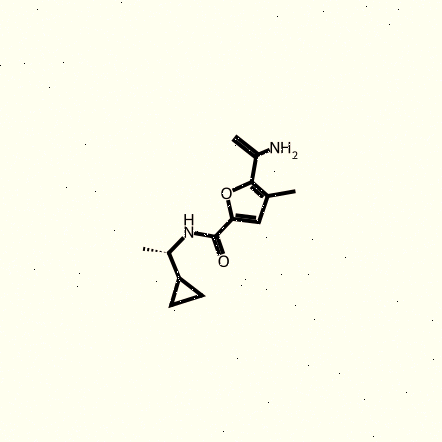 C=C(N)c1oc(C(=O)N[C@@H](C)C2CC2)cc1C